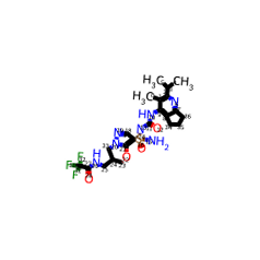 Cc1c(C(C)C)nc2c(c1NC(=O)N=S(N)(=O)c1cnn3c1OCC(CNC(=O)C(F)(F)F)C3)CCC2